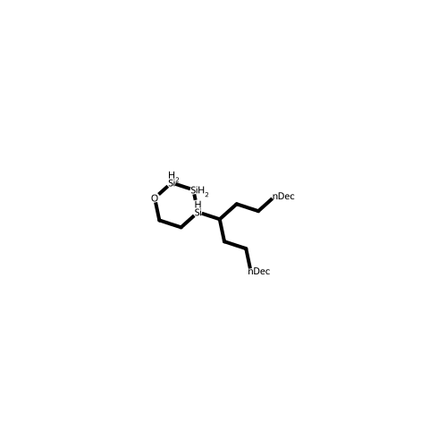 CCCCCCCCCCCCC(CCCCCCCCCCCC)[SiH]1CCO[SiH2][SiH2]1